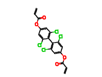 C=CC(=O)Oc1cc(Cl)c(-c2c(Cl)cc(OC(=O)C=C)cc2Cl)c(Cl)c1